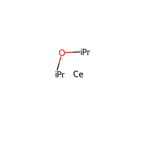 CC(C)OC(C)C.[Ce]